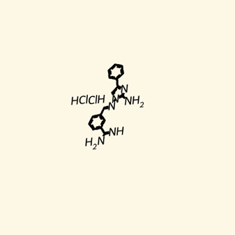 Cl.Cl.N=C(N)c1cccc(C=Nn2cc(-c3ccccc3)nc2N)c1